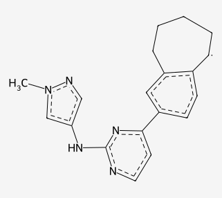 Cn1cc(Nc2nccc(-c3ccc4c(c3)CCCC[CH]4)n2)cn1